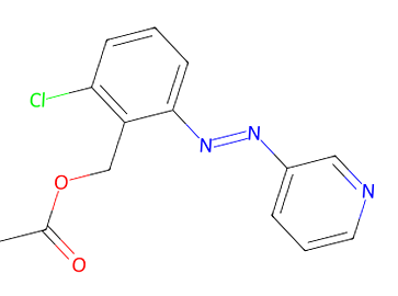 CC(=O)OCc1c(Cl)cccc1N=Nc1cccnc1